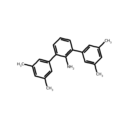 Cc1cc(C)cc(-c2cccc(-c3cc(C)cc(C)c3)c2N)c1